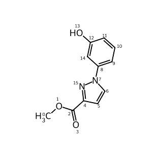 COC(=O)c1ccn(-c2cccc(O)c2)n1